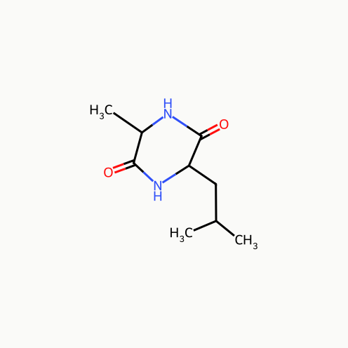 CC(C)CC1NC(=O)C(C)NC1=O